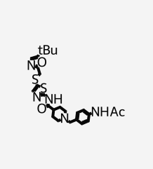 CC(=O)Nc1ccc(CN2CCC(C(=O)Nc3ncc(SCc4ncc(C(C)(C)C)o4)s3)CC2)cc1